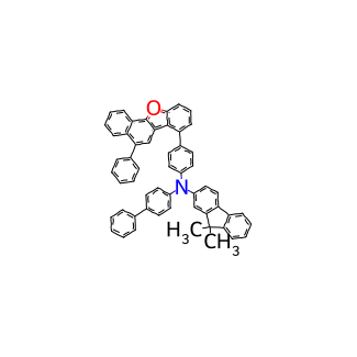 CC1(C)c2ccccc2-c2ccc(N(c3ccc(-c4ccccc4)cc3)c3ccc(-c4cccc5oc6c7ccccc7c(-c7ccccc7)cc6c45)cc3)cc21